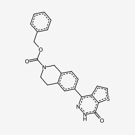 O=C(OCc1ccccc1)N1CCc2cc(-c3n[nH]c(=O)c4sccc34)ccc2C1